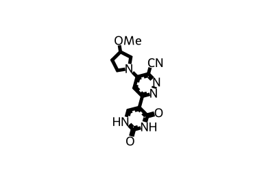 COC1CCN(c2cc(-c3c[nH]c(=O)[nH]c3=O)nnc2C#N)C1